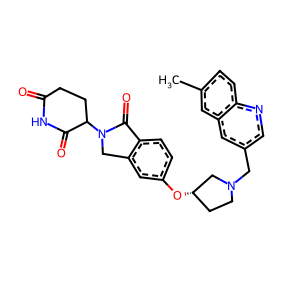 Cc1ccc2ncc(CN3CC[C@H](Oc4ccc5c(c4)CN(C4CCC(=O)NC4=O)C5=O)C3)cc2c1